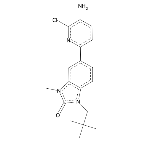 Cn1c(=O)n(CC(C)(C)C)c2ccc(-c3ccc(N)c(Cl)n3)cc21